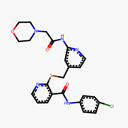 O=C(CN1CCOCC1)Nc1cc(CSc2ncccc2C(=O)Nc2ccc(Cl)cc2)ccn1